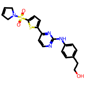 O=S(=O)(c1ccc(-c2ccnc(Nc3ccc(CCO)cc3)n2)s1)N1CC=CC1